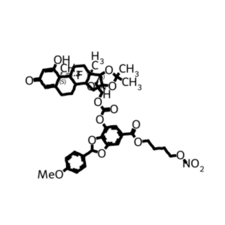 COc1ccc(C2Oc3cc(C(=O)OCCCCO[N+](=O)[O-])cc(OC(=O)OCC(=O)[C@@]45OC(C)(C)O[C@@H]4CC4C6CCC7=CC(=O)C=C(O)[C@@]7(C)[C@@]6(F)CC[C@@]45C)c3O2)cc1